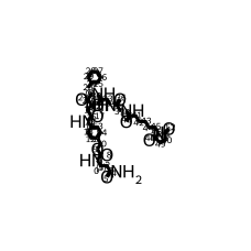 C[C@@H](CC(N)=O)NC(=O)OCc1ccc(NC(=O)CNC(=O)[C@H](Cc2ccccc2)NC(=O)CNC(=O)CNC(=O)CCCCCN2C(=O)C=CC2=O)cc1